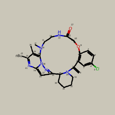 C=C1c2cc(Cl)ccc2OCC(=O)NCCN(C)c2c(C)c(CCCC)nc3cc(nn23)C2CCCCN12